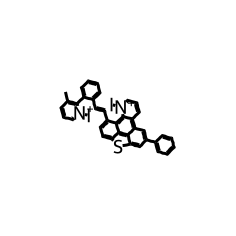 Cc1ccc[n+](I)c1-c1ccccc1/C=C/c1ccc2sc3cc(-c4ccccc4)cc4c5ccc[n+](I)c5c1c2c34